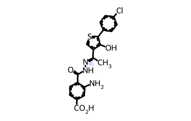 C/C(=N\NC(=O)c1ccc(C(=O)O)cc1N)c1csc(-c2ccc(Cl)cc2)c1O